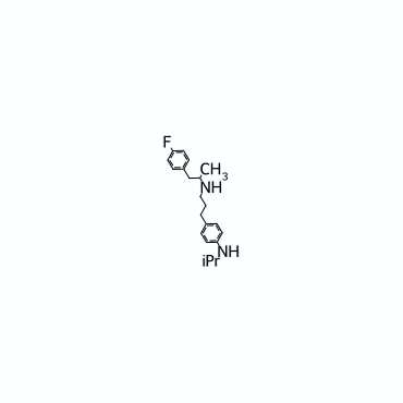 CC(C)Nc1ccc(CCCNC(C)Cc2ccc(F)cc2)cc1